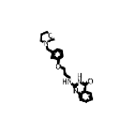 O=c1[nH]c(NCCCOc2cccc(CN3CCCCC3)c2)nc2ccccc12